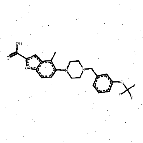 Cc1c(N2CCN(Cc3cccc(OC(F)(F)F)c3)CC2)ccc2oc(C(=O)O)cc12